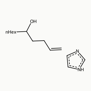 C=CCCC(O)CCCCCC.c1c[nH]cn1